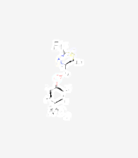 CCc1nc(COc2ccc([N+](=O)[O-])cc2)cs1